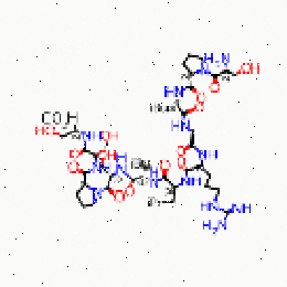 CC[C@H](C)[C@H](NC(=O)[C@H](CC(C)C)NC(=O)[C@H](CCCNC(=N)N)NC(=O)CNC(=O)[C@@H](NC(=O)[C@@H]1CCCN1C(=O)[C@@H](N)CO)[C@@H](C)CC)C(=O)N[C@@H](CO)C(=O)N1CCC[C@H]1C(=O)N[C@@H](CO)C(=O)N[C@@H](CO)C(=O)O